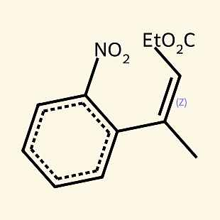 CCOC(=O)/C=C(/C)c1ccccc1[N+](=O)[O-]